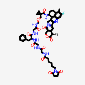 CCC1C(=O)OCc2c1cc1n(c2=O)Cc2c-1nc1cc(F)c(C)c3c1c2C(NC(=O)C1(COCNC(=O)CNC(=O)C(Cc2ccccc2)NC(=O)CNC(=O)CNC(=O)CCCCCN2C(=O)C=CC2=O)CC1)CC3